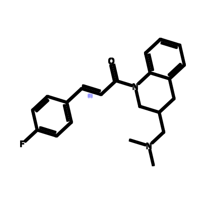 CN(C)CC1Cc2ccccc2N(C(=O)/C=C/c2ccc(F)cc2)C1